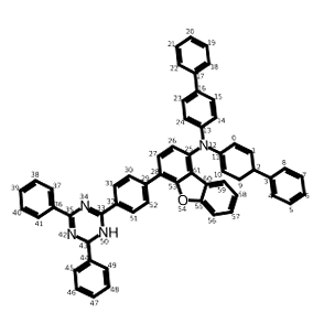 C1=CC(c2ccccc2)CC=C1N(c1ccc(-c2ccccc2)cc1)c1ccc(-c2ccc(C3=NC(c4ccccc4)=NC(c4ccccc4)N3)cc2)c2oc3ccccc3c12